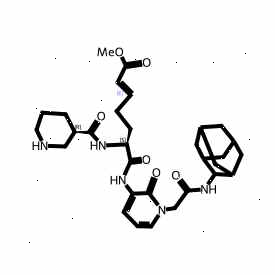 COC(=O)/C=C/CC[C@H](NC(=O)[C@@H]1CCCNC1)C(=O)Nc1cccn(CC(=O)NC2C3CC4CC(C3)CC2C4)c1=O